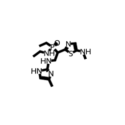 CCNP(=O)(CC)C(CNc1nc(C)c[nH]1)c1ncc(NC)s1